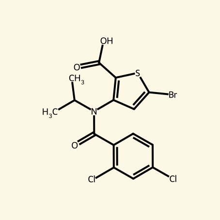 CC(C)N(C(=O)c1ccc(Cl)cc1Cl)c1cc(Br)sc1C(=O)O